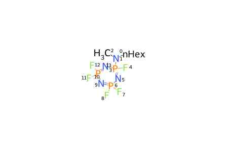 CCCCCCN(C)P1(F)=NP(F)(F)=NP(F)(F)=N1